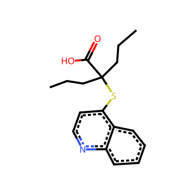 CCCC(CCC)(Sc1ccnc2ccccc12)C(=O)O